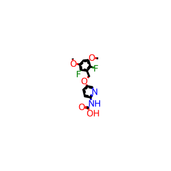 COc1cc(OC)c(F)c(COc2ccc(NC(=O)O)nc2)c1F